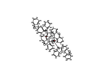 c1ccc2c(c1)Oc1ccccc1C21c2cc(-n3c4ccccc4c4c5c(ccc43)oc3ccccc35)oc2C2(c3ccccc3Oc3ccccc32)c2cc(-n3c4ccccc4c4c5c(ccc43)oc3ccccc35)oc21